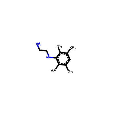 Cc1cc(C)c(C)c(NCCN)c1C